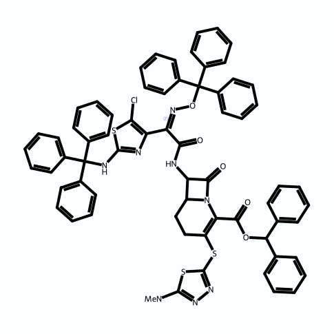 CNc1nnc(SC2=C(C(=O)OC(c3ccccc3)c3ccccc3)N3C(=O)C(NC(=O)/C(=N\OC(c4ccccc4)(c4ccccc4)c4ccccc4)c4nc(NC(c5ccccc5)(c5ccccc5)c5ccccc5)sc4Cl)C3CC2)s1